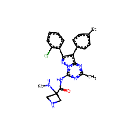 CCNC1(C(=O)Nc2nc(C)nc3c(-c4ccc(CC)cc4)c(-c4ccccc4Cl)nn23)CNC1